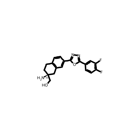 N[C@@]1(CO)CCc2ccc(-c3nnc(-c4ccc(F)c(F)c4)o3)cc2C1